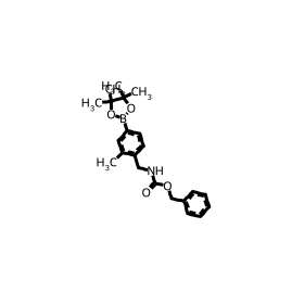 Cc1cc(B2OC(C)(C)C(C)(C)O2)ccc1CNC(=O)OCc1ccccc1